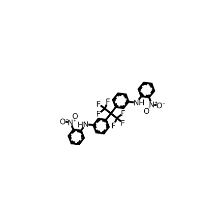 O=[N+]([O-])c1ccccc1Nc1cccc(C(c2cccc(Nc3ccccc3[N+](=O)[O-])c2)(C(F)(F)F)C(F)(F)F)c1